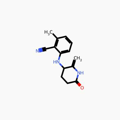 C=C1NC(=O)CCC1Nc1cccc(C)c1C#N